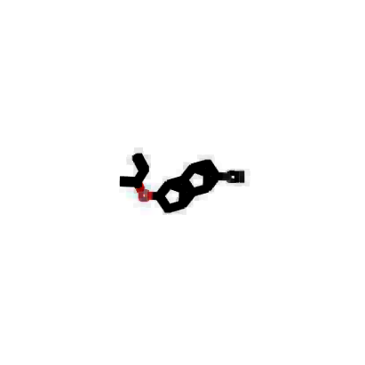 C=CC(=C)OC1CC2CC1C1C3CC(C#N)C(C3)C21